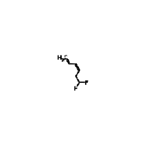 C=C/C=C\CC(F)F